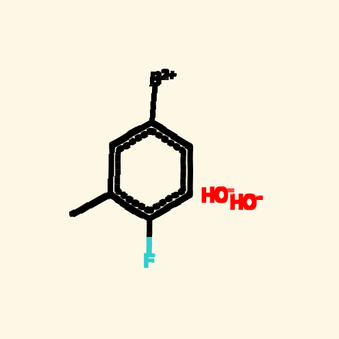 [B+2]c1ccc(F)c(C)c1.[OH-].[OH-]